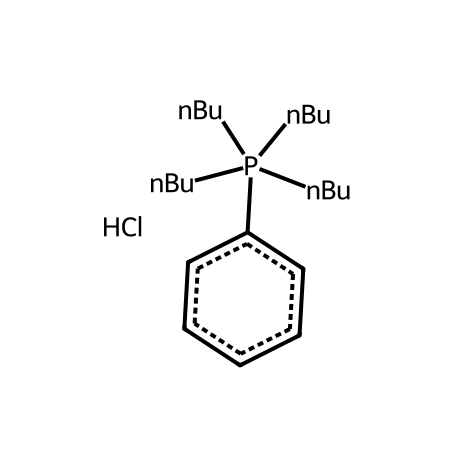 CCCCP(CCCC)(CCCC)(CCCC)c1ccccc1.Cl